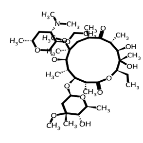 CCO[C@H]1[C@H](O[C@@H]2[C@@H](C)[C@H](O[C@@H]3C[C@@](C)(OC)[C@@H](O)[C@H](C)O3)[C@@H](C)C(=O)O[C@H](CC)[C@@](C)(O)[C@H](O)[C@@H](C)C(=O)[C@H](C)C[C@]2(C)OC)O[C@H](C)C[C@@H]1N(C)C